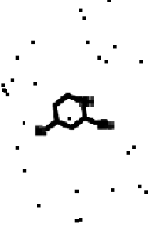 CCC1CCNC(C(C)(C)C)C1